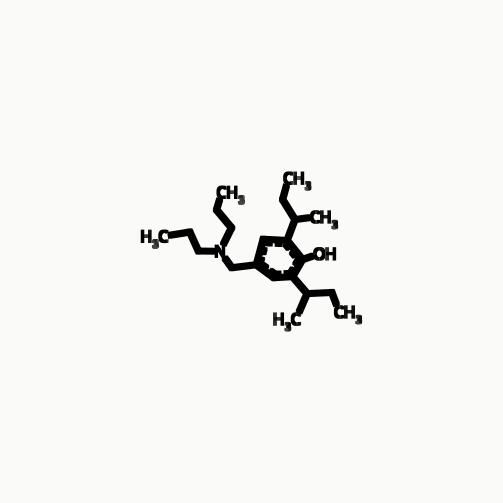 CCCN(CCC)Cc1cc(C(C)CC)c(O)c(C(C)CC)c1